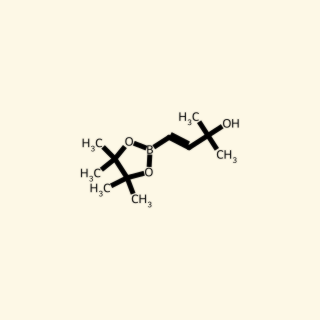 CC(C)(O)C=CB1OC(C)(C)C(C)(C)O1